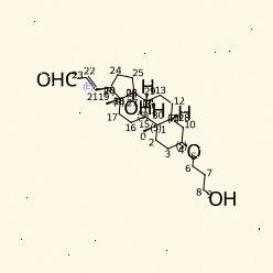 C[C@]12CC[C@H](OCCCO)C[C@H]1CC[C@@H]1[C@@H]2CC[C@]2(C)[C@@H](/C=C/C=O)CC[C@]12O